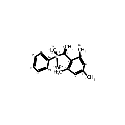 C=C(c1c(C)cc(C)cc1C)P(=C)(CCC)c1ccccc1